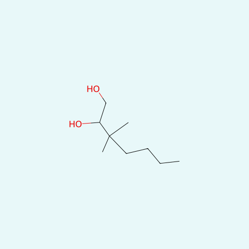 CCCCC(C)(C)C(O)CO